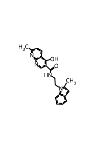 Cc1ccc2c(O)c(C(=O)NCCn3c(C)cc4ccccc43)cnc2n1